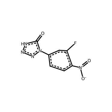 O=c1[nH]nnn1-c1ccc([N+](=O)[O-])c(F)c1